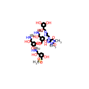 CC(C)(C)NCC(O)c1cc(O)cc(O)c1.CC(C)(C)NCC(O)c1ccc(O)c(CO)c1.CC(C)(C)NCC(O)c1ccc(O)c(CS(C)(=O)=O)c1.Cn1c(=O)c2c(ncn2CCCNCC(O)c2cc(O)cc(O)c2)n(C)c1=O